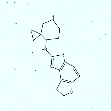 c1cc2sc(NC3CCNCC34CC4)nc2c2c1OCC2